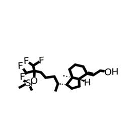 CC(CCCC(O[Si](C)(C)C)(C(F)F)C(F)F)[C@H]1CC[C@H]2C(=CCO)CCC[C@]12C